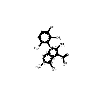 Cc1ccc(O)c(C)c1-n1c(N)c(C(N)=O)c2c(C(F)(F)F)n(C)nc21